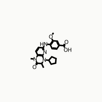 COc1cc(C(=O)O)ccc1Nc1ccc2c(n1)N(C1CCCC1)C(C)C(=O)N2C